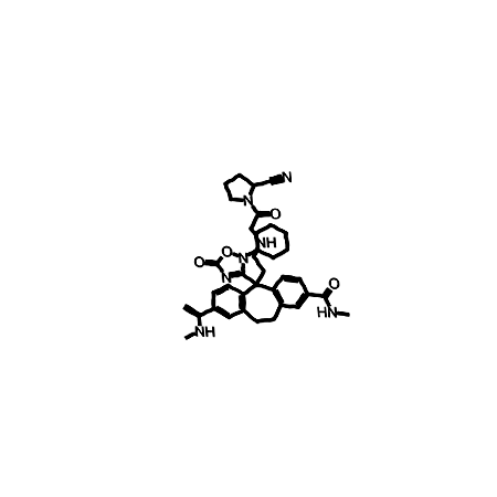 C=C(NC)c1ccc2c(c1)CCc1cc(C(=O)NC)ccc1C2(CCNCC(=O)N1CCCC1C#N)c1nc(=O)on1C1CCCCC1